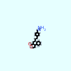 NN=Cc1ccc(CCCCC2C(=O)OCCC2C2CCCCC2)cc1